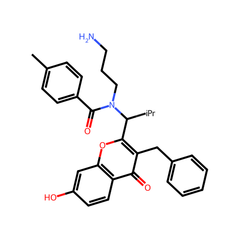 Cc1ccc(C(=O)N(CCCN)C(c2oc3cc(O)ccc3c(=O)c2Cc2ccccc2)C(C)C)cc1